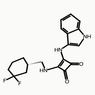 O=c1c(NC[C@H]2CCCC(F)(F)C2)c(Nc2c[nH]c3ccccc23)c1=O